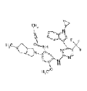 CC#CC(=O)Nc1cc(Nc2ncc(C(F)(F)F)c(-c3cn(C4CC4)c4ccccc34)n2)c(OC)cc1N1CC2CN(C)CC2C1